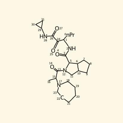 CCCC(NC(=O)C1C2CCCC2CN1C(=O)C(C)N1CCCCCC1)C(=O)C(=O)NC1CC1